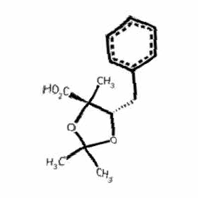 CC1(C)O[C@@H](Cc2ccccc2)[C@](C)(C(=O)O)O1